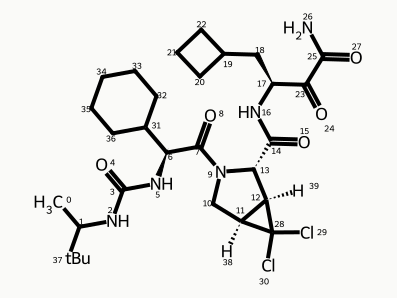 CC(NC(=O)N[C@H](C(=O)N1C[C@H]2[C@@H]([C@H]1C(=O)N[C@@H](CC1CCC1)C(=O)C(N)=O)C2(Cl)Cl)C1CCCCC1)C(C)(C)C